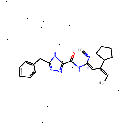 C=N/C(=C\C(=C/C)C1CCCC1)NC(=O)c1nnc(Cc2ccccc2)[nH]1